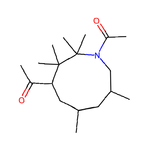 CC(=O)C1CC(C)CC(C)CN(C(C)=O)C(C)(C)C1(C)C